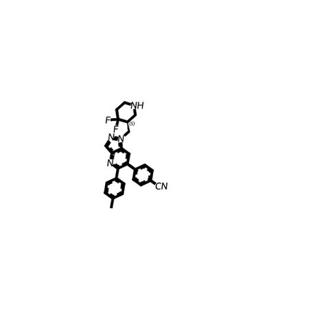 Cc1ccc(-c2nc3cnn(C[C@@H]4CNCCC4(F)F)c3cc2-c2ccc(C#N)cc2)cc1